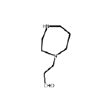 O=[C]CCN1CCCNCC1